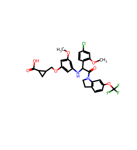 COc1cc(NC(C(=O)N2CCc3ccc(OC(F)(F)F)cc32)c2ccc(Cl)cc2OC)cc(OCC2CC2C(=O)O)c1